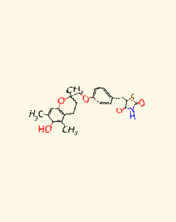 Cc1cc2c(c(C)c1O)CCC(C)(COc1ccc(CC3SC(=O)NC3=O)cc1)O2